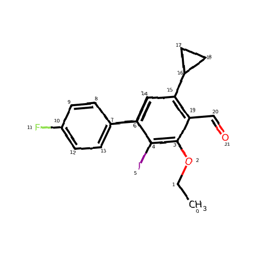 CCOc1c(I)c(-c2ccc(F)cc2)cc(C2CC2)c1C=O